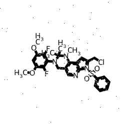 COc1cc(OC)c(F)c(N2Cc3cnc4c(cc(CCl)n4S(=O)(=O)c4ccccc4)c3N(C)C2(C)C)c1F